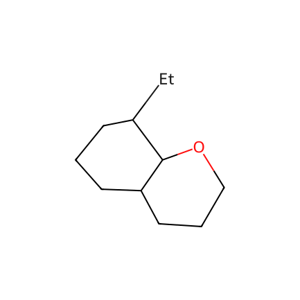 CCC1CCCC2CCCOC12